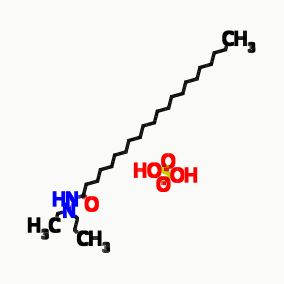 CCCCCCCCCCCCCCCCCCCCCC(=O)NN(CC)CCC.O=S(=O)(O)O